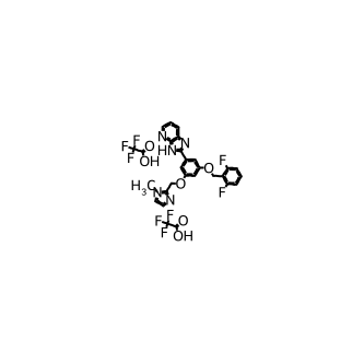 Cn1ccnc1COc1cc(OCc2c(F)cccc2F)cc(-c2nc3cccnc3[nH]2)c1.O=C(O)C(F)(F)F.O=C(O)C(F)(F)F